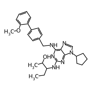 CCC(Nc1nc(NCc2ccc(-c3ccccc3OC)cc2)c2ncn(C3CCCC3)c2n1)C(C)O